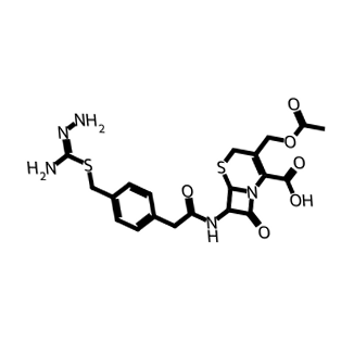 CC(=O)OCC1=C(C(=O)O)N2C(=O)C(NC(=O)Cc3ccc(CS/C(N)=N\N)cc3)C2SC1